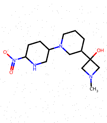 CN1CC(O)(C2CCCN(C3CCC([N+](=O)[O-])NC3)C2)C1